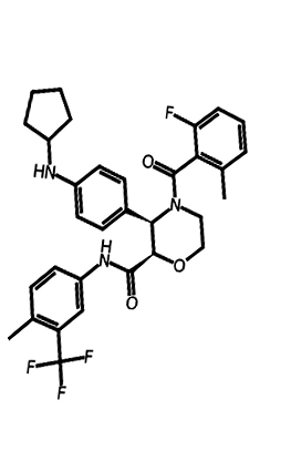 Cc1ccc(NC(=O)[C@@H]2OCCN(C(=O)c3c(C)cccc3F)[C@@H]2c2ccc(NC3CCCC3)cc2)cc1C(F)(F)F